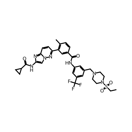 CCS(=O)(=O)N1CCN(Cc2cc(NC(=O)c3ccc(C)c(-c4ccc5nc(NC(=O)C6CC6)cn5n4)c3)cc(C(F)(F)F)c2)CC1